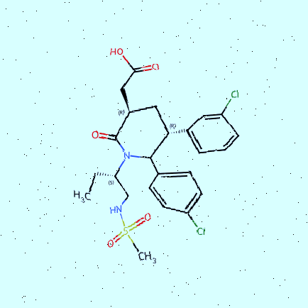 CC[C@@H](CNS(C)(=O)=O)N1C(=O)[C@@H](CC(=O)O)C[C@H](c2cccc(Cl)c2)C1c1ccc(Cl)cc1